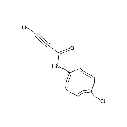 O=C(C#CCl)Nc1ccc(Cl)cc1